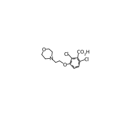 O=C(O)c1c(Cl)ccc(OCCN2CCOCC2)c1Cl